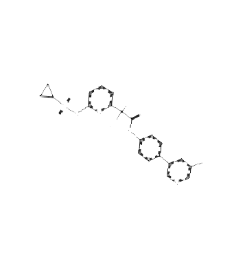 CC(C)(C(=O)Nc1ccc(-c2cncc(Cl)c2)cc1)c1cccc(NS(=O)(=O)C2CC2)n1